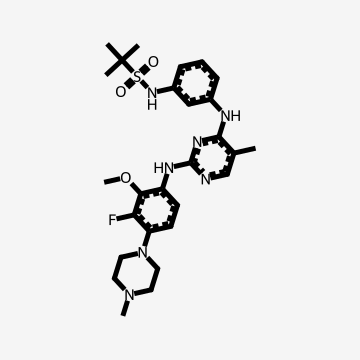 COc1c(Nc2ncc(C)c(Nc3cccc(NS(=O)(=O)C(C)(C)C)c3)n2)ccc(N2CCN(C)CC2)c1F